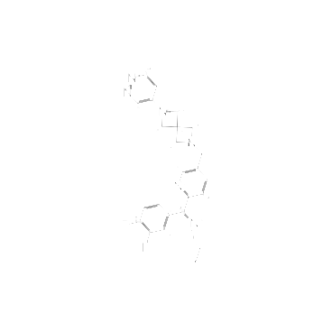 CCO/N=C(\c1ccc(F)c(F)c1)c1ccc(CN2CC3(C2)CN(c2ccnnc2)C3)cn1